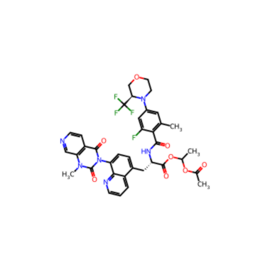 CC(=O)OC(C)OC(=O)[C@H](Cc1ccc(-n2c(=O)c3ccncc3n(C)c2=O)c2ncccc12)NC(=O)c1c(C)cc(N2CCOC[C@@H]2C(F)(F)F)cc1F